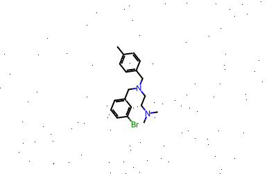 Cc1ccc(CN(CCN(C)C)Cc2cccc(Br)c2)cc1